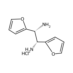 Cl.N[C@@H](c1ccco1)[C@@H](N)c1ccco1